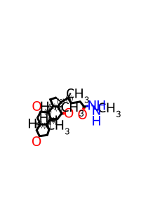 CNNC(=O)CC[C@H](C)[C@@H]1CC[C@@H]2[C@H]3C(=O)C[C@H]4CC(=O)CC[C@@]4(C)[C@@H]3CC(=O)[C@]21C